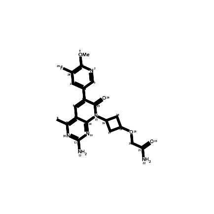 COc1ncc(-c2cc3c(C)nc(N)nc3n(C3CC(OCC(N)=O)C3)c2=O)cc1F